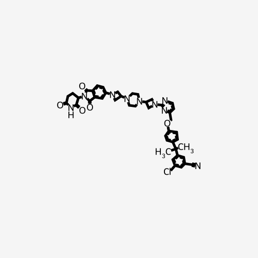 CC(C)(c1ccc(OCc2ccnc(N3CC(N4CCN(C5CN(c6ccc7c(c6)C(=O)N(C6CCC(=O)NC6=O)C7=O)C5)CC4)C3)n2)cc1)c1cc(Cl)cc(C#N)c1